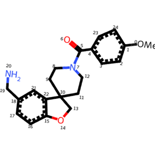 COc1ccc(C(=O)N2CCC3(CC2)COc2ccc(CN)cc23)cc1